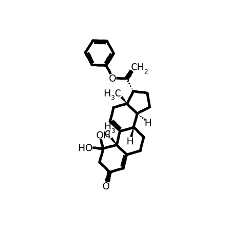 C=C(Oc1ccccc1)[C@@H]1CC[C@H]2[C@@H]3CCC4=CC(=O)CC(O)(O)[C@]4(C)C3=CC[C@]12C